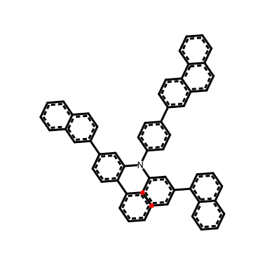 c1ccc(-c2ccc(-c3ccc4ccccc4c3)cc2N(c2ccc(-c3ccc4c(ccc5ccccc54)c3)cc2)c2cccc(-c3cccc4ccccc34)c2)cc1